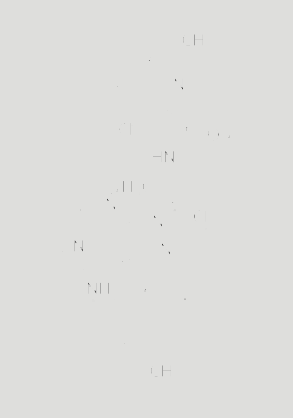 Cc1ccc(-c2nn(C(C)(C)CNC(=O)c3nc(C)ccc3Cl)c3ncnc(N)c23)cc1